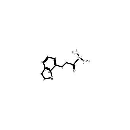 CON(C)C(=O)CCc1cccc2c1OCC2